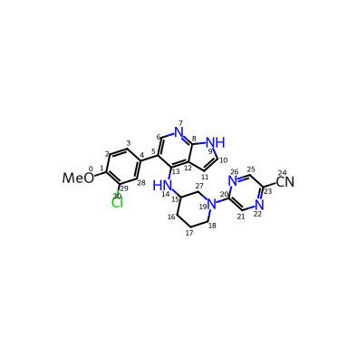 COc1ccc(-c2cnc3[nH]ccc3c2NC2CCCN(c3cnc(C#N)cn3)C2)cc1Cl